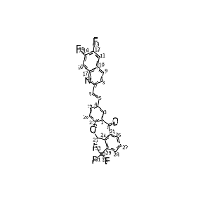 O=C1c2cc(/C=C/c3ccc4cc(F)c(F)cc4n3)ccc2OCc2c1cccc2C(F)(F)F